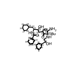 CC[C@H](C)[C@](NCC(O)c1ccccc1)(C(N)=O)C(=O)[C@@H](C[C@H](O)[C@H](CC1CCCCC1)NC(=O)c1ccccn1)C(C)C